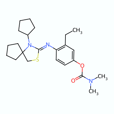 CCc1cc(OC(=O)N(C)C)ccc1N=C1SCC2(CCCC2)N1C1CCCC1